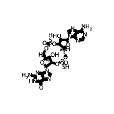 Nc1nc2c(ncn2[C@@H]2O[C@@H]3COP(=O)(S)OC4C(O)C(n5cnc6c(N)ncnc65)O[C@@H]4COP(=O)(S)OC2C3O)c(=O)[nH]1